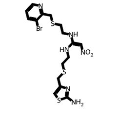 Nc1nc(CSCCNC(=C[N+](=O)[O-])NCCSCc2ncccc2Br)cs1